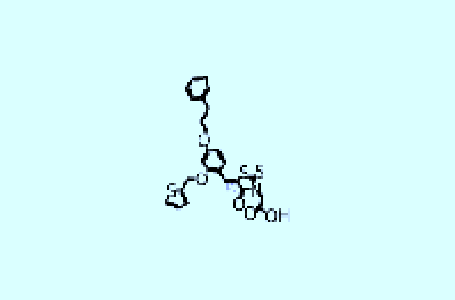 O=C(O)CN1C(=O)/C(=C/c2ccc(OCCCc3ccccc3)cc2OCc2cccs2)SC1=S